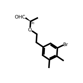 Cc1cc(CCO[C@H](C)C=O)cc(Br)c1C